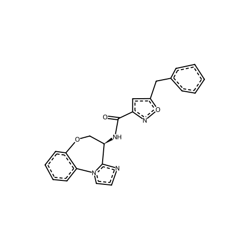 O=C(N[C@@H]1COc2ccccc2-n2ccnc21)c1cc(Cc2ccccc2)on1